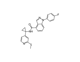 CSc1cc(C2(NC(=O)c3cccc4c3cnn4-c3ccc(F)cc3)CC2)ccn1